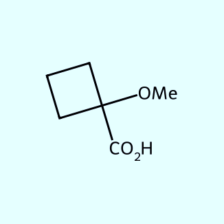 COC1(C(=O)O)CCC1